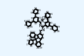 C=N/C(=N\C(=N/Cc1ccc2c(c1)C(c1ccccc1)(c1ccccc1)c1ccccc1-2)c1cc(-c2ccccc2)cc(-c2ccccc2)c1)c1cc(-c2ccccc2)cc(-c2ccccc2)c1